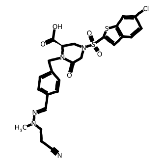 CN(CCC#N)/N=C/c1ccc(CN2C(=O)CN(S(=O)(=O)c3cc4ccc(Cl)cc4s3)C[C@@H]2C(=O)O)cc1